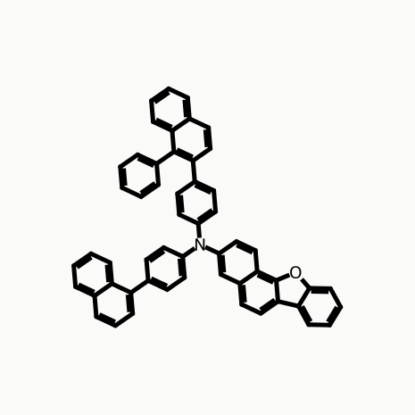 c1ccc(-c2c(-c3ccc(N(c4ccc(-c5cccc6ccccc56)cc4)c4ccc5c(ccc6c7ccccc7oc56)c4)cc3)ccc3ccccc23)cc1